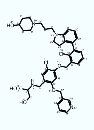 O=C(O)C(CO)NCc1cc(Cl)c(OCc2cccc(-c3cccc4c3CCN4CCCN3CCC(O)CC3)c2Cl)cc1OCc1cccnc1